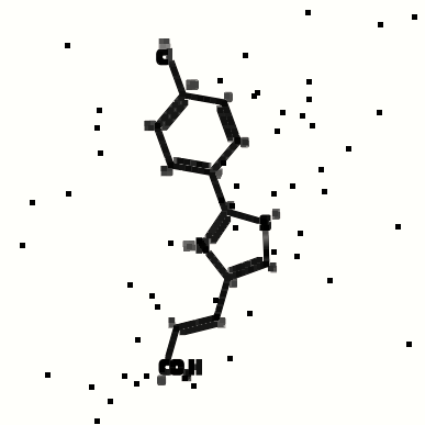 O=C(O)C=Cc1csc(-c2ccc(Cl)cc2)n1